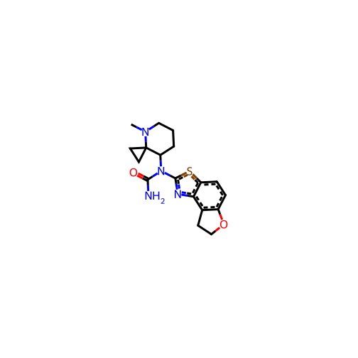 CN1CCCC(N(C(N)=O)c2nc3c4c(ccc3s2)OCC4)C12CC2